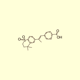 CC(=Cc1ccc(C(=O)O)cc1)c1ccc2c(c1)C(C)(C)CCS2(=O)=O